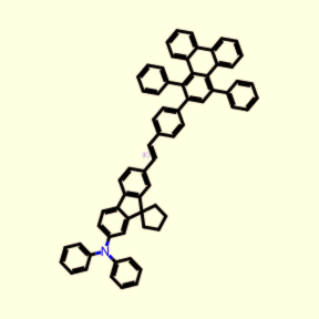 C(=C\c1ccc2c(c1)C1(CCCC1)c1cc(N(c3ccccc3)c3ccccc3)ccc1-2)/c1ccc(-c2cc(-c3ccccc3)c3c4ccccc4c4ccccc4c3c2-c2ccccc2)cc1